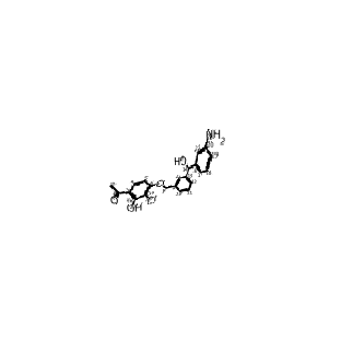 CC(=O)c1ccc(OCc2cccc(C(O)c3cccc(N)c3)c2)c(Cl)c1O